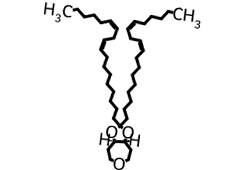 CCCCC/C=C\C/C=C\CCCCCCCCC1(CCCCCCCC/C=C\C/C=C\CCCCC)O[C@@H]2CCOCC[C@H]2O1